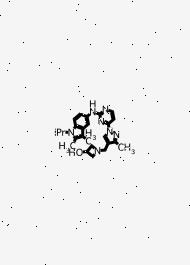 Cc1nn(-c2ccnc(Nc3ccc4c(c3)c(C)c(C)n4C(C)C)n2)cc1CN1CC(O)C1